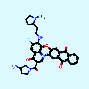 CN1CCCC1CCNc1c(F)cc2c(=O)c(C(=O)N3CCC(N)C3)cn3c4cc5c(=O)c6ccccc6c(=O)c5cc4oc1c23